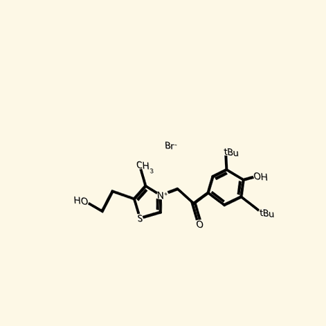 Cc1c(CCO)sc[n+]1CC(=O)c1cc(C(C)(C)C)c(O)c(C(C)(C)C)c1.[Br-]